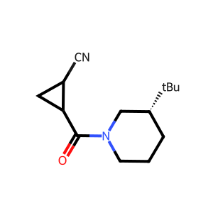 CC(C)(C)[C@@H]1CCCN(C(=O)C2CC2C#N)C1